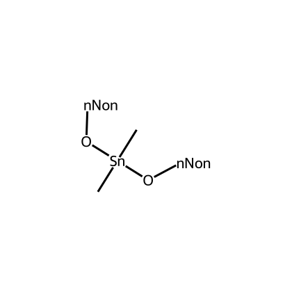 CCCCCCCCC[O][Sn]([CH3])([CH3])[O]CCCCCCCCC